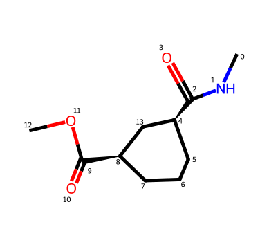 CNC(=O)[C@H]1CCC[C@@H](C(=O)OC)C1